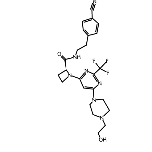 N#Cc1ccc(CCNC(=O)[C@@H]2CCN2c2cc(N3CCN(CCO)CC3)nc(C(F)(F)F)n2)cc1